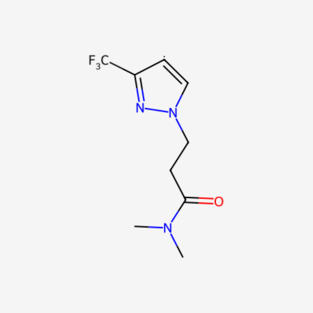 CN(C)C(=O)CCn1c[c]c(C(F)(F)F)n1